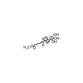 CCOC(=O)CCCCCNc1ncnc2c1ncn2[C@@H]1O[C@H](CO)C(O)C1O